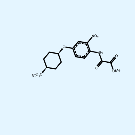 CCOC(=O)[C@H]1CC[C@@H](Oc2ccc(NC(=O)C(=O)OC)c([N+](=O)[O-])c2)CC1